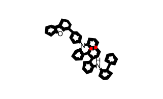 C1=c2c(oc3ccccc23)=C(c2ccc(N(c3ccccc3)c3ccccc3-c3ccccc3-c3ccccc3Nc3ccccc3-c3ccccc3)cc2)CC1